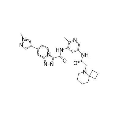 Cc1ncc(NC(=O)CN2CCCCC23CCC3)cc1NC(=O)c1nnc2cc(-c3cnn(C)c3)ccn12